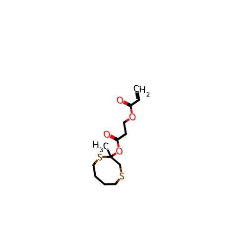 C=CC(=O)OCCC(=O)OC1(C)CSCCCCS1